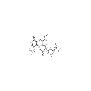 CCOC(=O)C1=C(C)N(c2cccc(C(=O)OC)c2)C(=O)CC1c1cc(Br)ccc1OC(C)=O